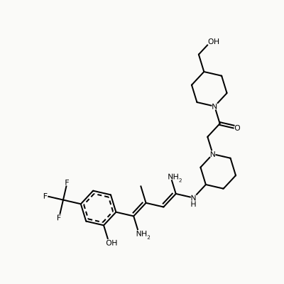 CC(/C=C(\N)NC1CCCN(CC(=O)N2CCC(CO)CC2)C1)=C(/N)c1ccc(C(F)(F)F)cc1O